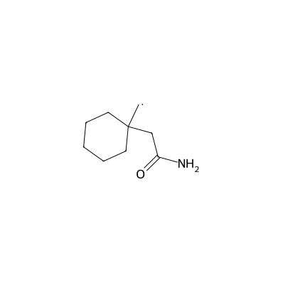 [CH2]C1(CC(N)=O)CCCCC1